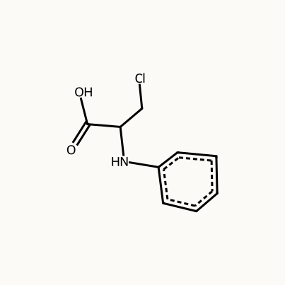 O=C(O)C(CCl)Nc1ccccc1